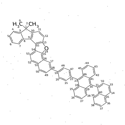 CC1(C)c2ccccc2-c2c1ccc1oc3c4cc(-c5ccc(-c6c7ccccc7c(-c7cccc8ccccc78)c7ccccc67)cc5)ccc4ccc3c21